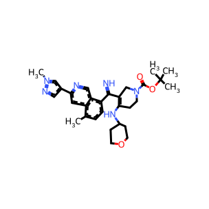 Cc1ccc(C(=N)C2=C(NC3CCOCC3)CCN(C(=O)OC(C)(C)C)C2)c2cnc(-c3cnn(C)c3)cc12